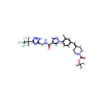 Cc1cc(C=C2CCN(C(=O)OC(C)(C)C)CC2)ccc1-n1cc(C(=O)NCc2nc(C(C)(C)C(F)(F)F)n[nH]2)cn1